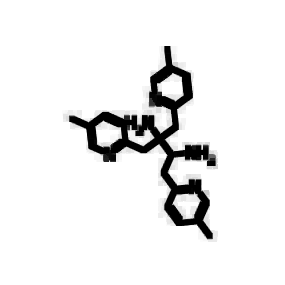 Cc1ccc(CC(N)C(N)(Cc2ccc(C)cn2)Cc2ccc(C)cn2)nc1